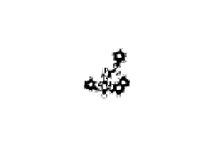 CC(C)CN(CCC(=O)OCc1ccccc1)C(=O)N[C@@H](Cc1ccc2ccccc2c1)C(=O)OCc1ccccc1